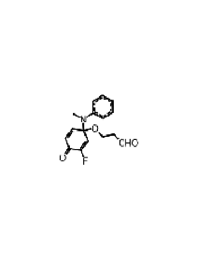 CN(c1ccccc1)C1(OCCC=O)C=CC(=O)C(F)=C1